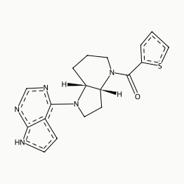 O=C(c1cccs1)N1CCC[C@@H]2[C@H]1CCN2c1ncnc2[nH]ccc12